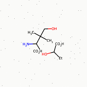 CC(C)(CO)C(N)C(=O)O.CCC(O)C(=O)O